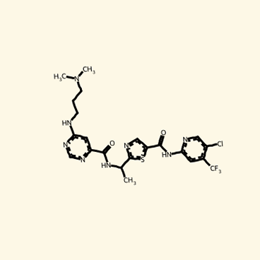 CC(NC(=O)c1cc(NCCCN(C)C)ncn1)c1ncc(C(=O)Nc2cc(C(F)(F)F)c(Cl)cn2)s1